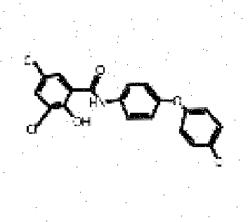 O=C(Nc1ccc(Oc2ccc(Cl)cc2)cc1)c1cc(Cl)cc(Cl)c1O